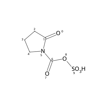 O=C1CCCN1C(=O)OS(=O)(=O)O